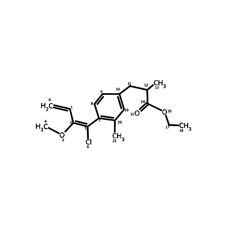 C=C/C(OC)=C(/Cl)c1ccc(CC(C)C(=O)OCC)cc1C